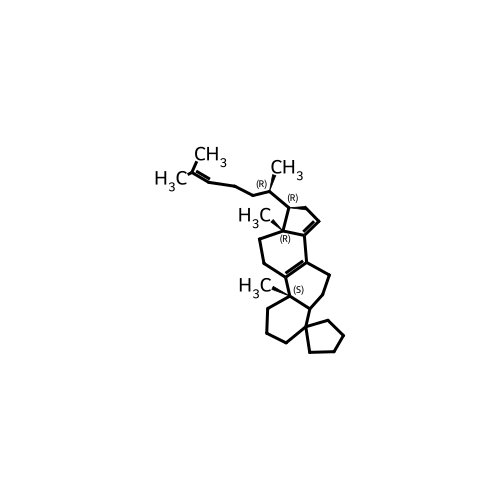 CC(C)=CCC[C@@H](C)[C@H]1CC=C2C3=C(CC[C@@]21C)[C@@]1(C)CCCC2(CCCC2)C1CC3